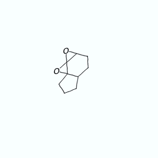 C1CC2CCC3OC34OC24C1